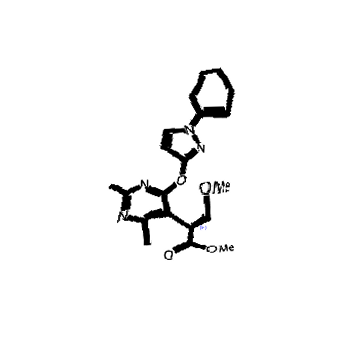 CO/C=C(/C(=O)OC)c1c(C)nc(C)nc1Oc1ccn(-c2ccccc2)n1